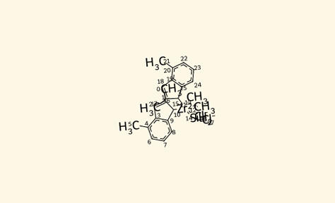 CC1=Cc2c(C)cccc2[CH]1[Zr+2]([CH3])([CH3])(=[SiH2])[CH]1C(C)=Cc2c(C)cccc21.[Cl-].[Cl-]